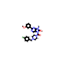 COc1cccc(-c2ncc3c(n2)n(C)c(=O)n3C(=O)N2CCN(Cc3ccc(F)cc3)CC2)c1